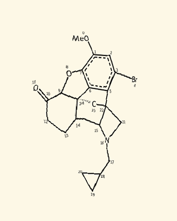 COc1cc(Br)c2c3c1OC1C(=O)CCC4C5N(CC6CC6)CC25C[C@@]314